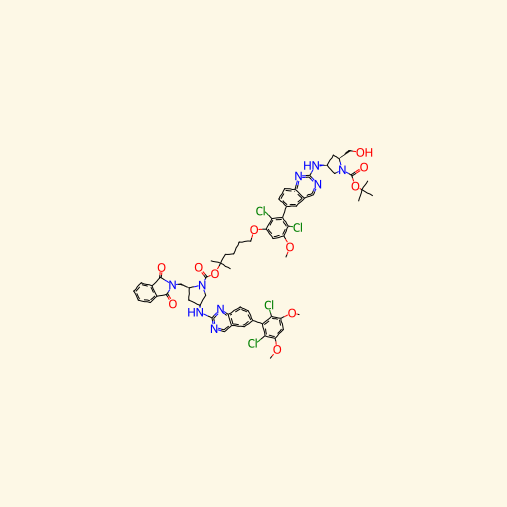 COc1cc(OC)c(Cl)c(-c2ccc3nc(N[C@H]4C[C@@H](CN5C(=O)c6ccccc6C5=O)N(C(=O)OC(C)(C)CCCCOc5cc(OC)c(Cl)c(-c6ccc7nc(N[C@H]8C[C@@H](CO)N(C(=O)OC(C)(C)C)C8)ncc7c6)c5Cl)C4)ncc3c2)c1Cl